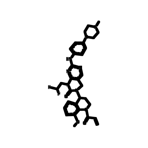 C=CC(=O)N1CCC(N2Cc3cnc(Nc4ccc(N5CCN(C)CC5)cc4)nc3N(CC(F)F)C2=O)c2cccc(OC)c21